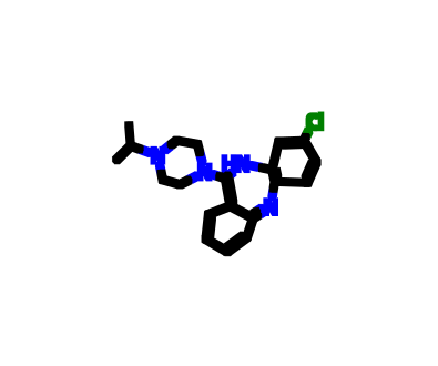 CC(C)N1CCN(C2=c3ccccc3=Nc3ccc(Cl)cc3N2)CC1